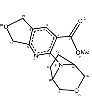 COC(=O)c1cc2c(nc1N1C3CCC1COC3)COC2